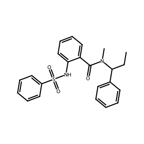 CCC(c1ccccc1)N(C)C(=O)c1ccccc1NS(=O)(=O)c1ccccc1